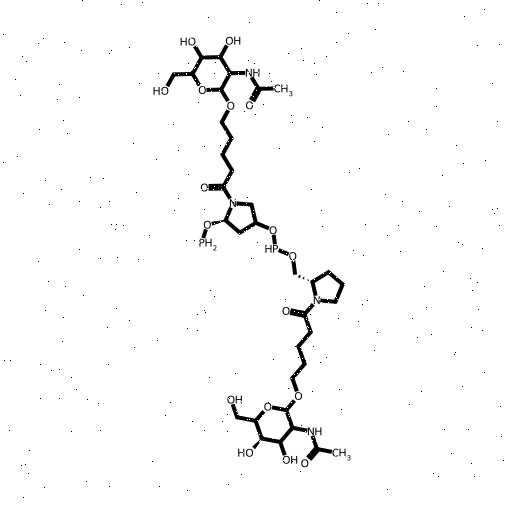 CC(=O)NC1C(OCCCCC(=O)N2CC(OPOC[C@@H]3CCCN3C(=O)CCCCOC3OC(CO)[C@H](O)C(O)C3NC(C)=O)C[C@H]2OP)OC(CO)C(O)C1O